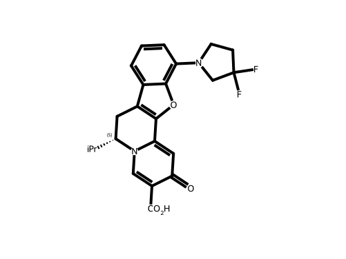 CC(C)[C@@H]1Cc2c(oc3c(N4CCC(F)(F)C4)cccc23)-c2cc(=O)c(C(=O)O)cn21